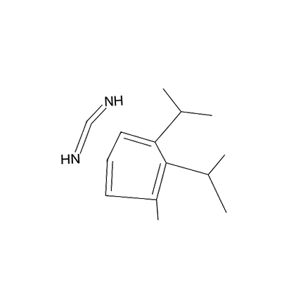 Cc1cccc(C(C)C)c1C(C)C.N=C=N